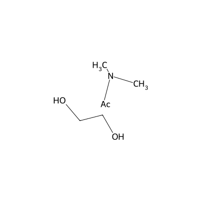 CC(=O)N(C)C.OCCO